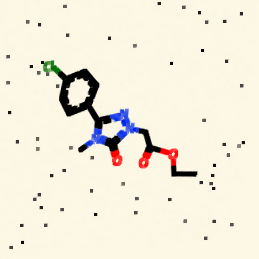 CCOC(=O)Cn1nc(-c2ccc(Cl)cc2)n(C)c1=O